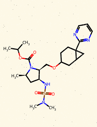 CC(C)OC(=O)N1[C@H](C)C[C@H](NS(=O)(=O)N(C)C)[C@@H]1COC1CCC2(c3ncccn3)CC2C1